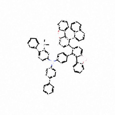 C[Si]1(C)c2ccccc2-c2ccc(N(c3ccc(-c4ccccc4)cc3)c3ccc(-c4c(-c5ccc6oc7ccccc7c6c5-c5cccc6ccccc56)ccc5oc6ccccc6c45)cc3)cc21